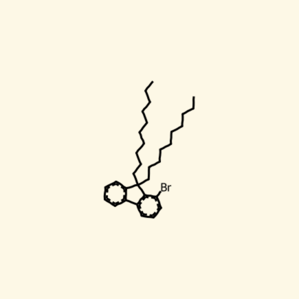 CCCCCCCCCCC1(CCCCCCCCCC)c2ccccc2-c2cccc(Br)c21